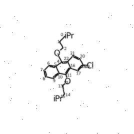 CC(C)CCOc1c2ccccc2c(OCCC(C)C)c2cc(Cl)ccc12